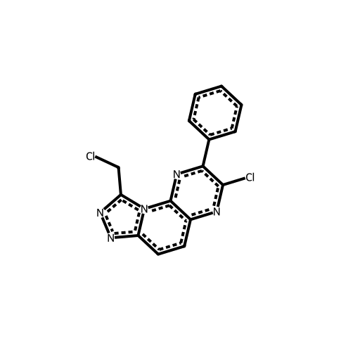 ClCc1nnc2ccc3nc(Cl)c(-c4ccccc4)nc3n12